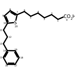 O=C(O)CCCCCCc1ccc(CCCc2ccccc2)s1